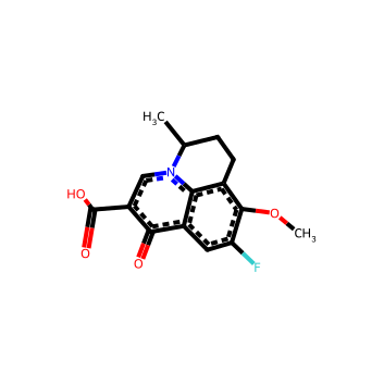 COc1c(F)cc2c(=O)c(C(=O)O)cn3c2c1CCC3C